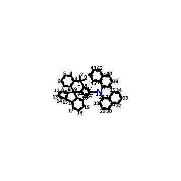 CC1(C)c2ccccc2C2(c3ccccc3-c3ccccc32)c2ccc(N(c3cccc4ccccc34)c3cccc4ccccc34)cc21